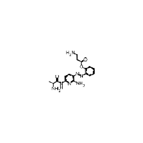 C[C@H](N)C(=O)Nc1ccc(/N=N/c2ccccc2OC(=O)CCN)c(N)n1